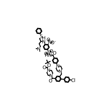 CN(C)CCC(CSc1ccccc1)Nc1ccc(S(=O)(=O)NC(=O)c2ccc(N3CCN(Cc4cc(C(=O)N5CCN(C(=O)OC(C)(C)C)CC5)ccc4-c4ccc(Cl)cc4)CC3)cc2)cc1[N+](=O)[O-]